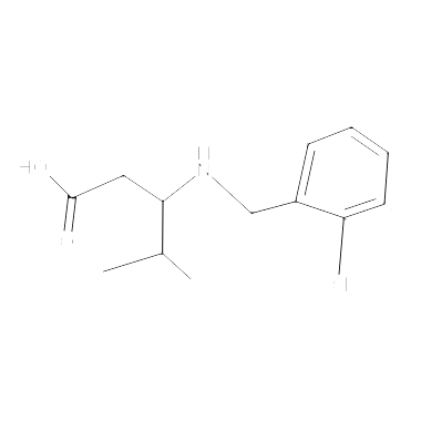 CC(C)C(CC(=O)O)NCc1ccccc1Cl